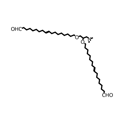 CN(C)CC(COCCCCCCCCC=CCCCCCCCC=O)OCCCCCCCCC=CCCCCCCCC=O